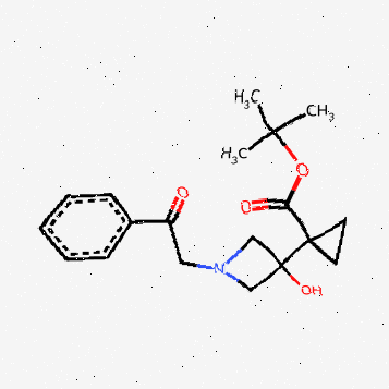 CC(C)(C)OC(=O)C1(C2(O)CN(CC(=O)c3ccccc3)C2)CC1